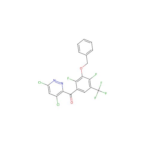 O=C(c1cc(C(F)(F)F)c(F)c(OCc2ccccc2)c1F)c1nnc(Cl)cc1Cl